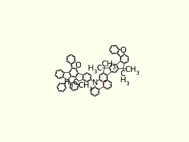 CC1(C)c2cc(N(c3ccc4c(c3)C(C)(C)c3c5c(c6c(oc7ccccc76)c3-4)-c3ccccc3C5(c3ccccc3)c3ccccc3)c3ccccc3-c3ccccc3)ccc2-c2cc3c(cc21)-c1c(ccc2oc4ccccc4c12)C3(C)C